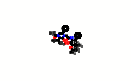 CC(=O)N1C=C(c2ccccc2)N(CC(=O)N[C@@H](Cc2ccccc2)C(O)C(O[SiH](C)C)C(C)(C)C)C(=O)[C@H]1C(C)C